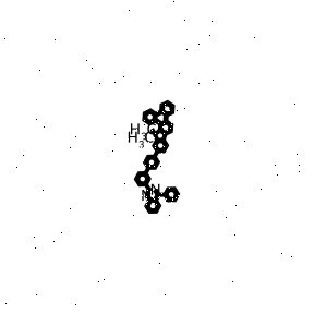 CC1(C)c2cc(-c3ccc(-c4cccc(-c5nc(-c6ccccc6)c6ccccc6n5)c4)cc3)ccc2-c2ccc3c4ccccc4c4ccccc4c3c21